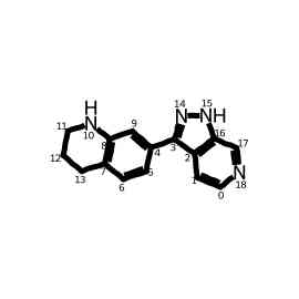 c1cc2c(-c3ccc4c(c3)NCCC4)n[nH]c2cn1